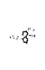 N[C@H]1CC[C@@]2(CCC[C@@H]2C(=O)O)[C@@H]1O